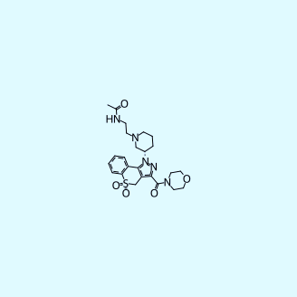 CC(=O)NCCN1CCC[C@H](n2nc(C(=O)N3CCOCC3)c3c2-c2ccccc2S(=O)(=O)C3)C1